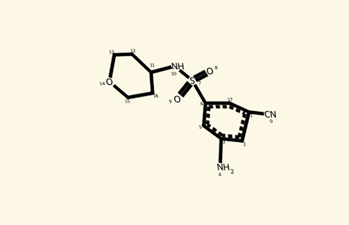 N#Cc1cc(N)cc(S(=O)(=O)NC2CCOCC2)c1